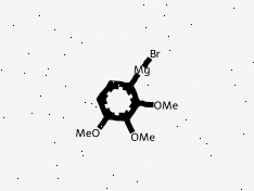 COc1cc[c]([Mg][Br])c(OC)c1OC